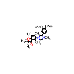 COc1ccc(C2CN(c3c(C)c(C)c4c(c3C)C(=O)C(C)(C)O4)CCN2C)cc1OC